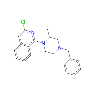 CC1CN(Cc2ccccc2)CCN1c1nc(Cl)cc2ccccc12